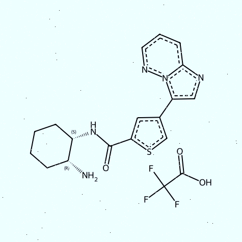 N[C@@H]1CCCC[C@@H]1NC(=O)c1cc(-c2cnc3cccnn23)cs1.O=C(O)C(F)(F)F